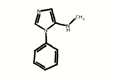 CNc1cncn1-c1ccccc1